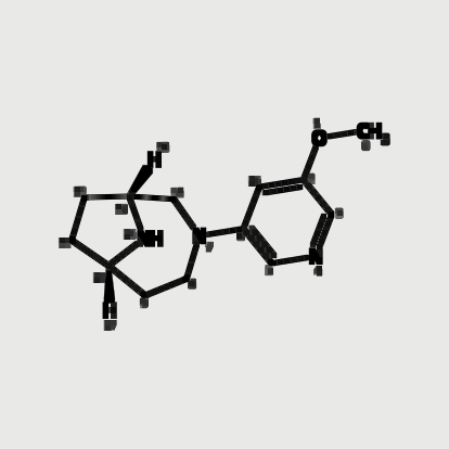 COc1cncc(N2CC[C@@H]3CC[C@H](C2)N3)c1